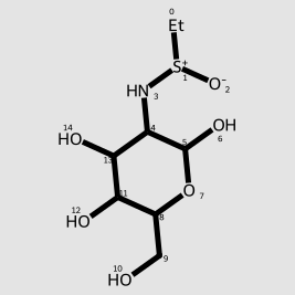 CC[S+]([O-])NC1C(O)OC(CO)C(O)C1O